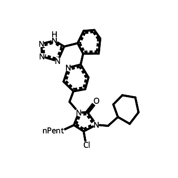 CCCCCc1c(Cl)n(CC2CCCCC2)c(=O)n1Cc1ccc(-c2ccccc2-c2nnn[nH]2)nc1